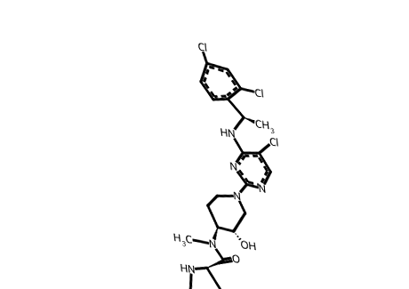 C[C@@H](Nc1nc(N2CC[C@H](N(C)C(=O)[C@H]3CCCN3)[C@@H](O)C2)ncc1Cl)c1ccc(Cl)cc1Cl